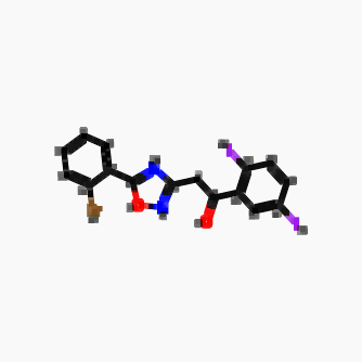 O=C(Cc1noc(-c2ccccc2Br)n1)c1cc(I)ccc1I